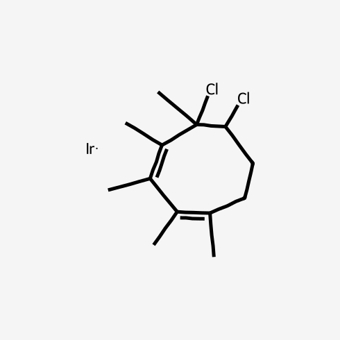 CC1=C(C)C(C)=C(C)C(C)(Cl)C(Cl)CC1.[Ir]